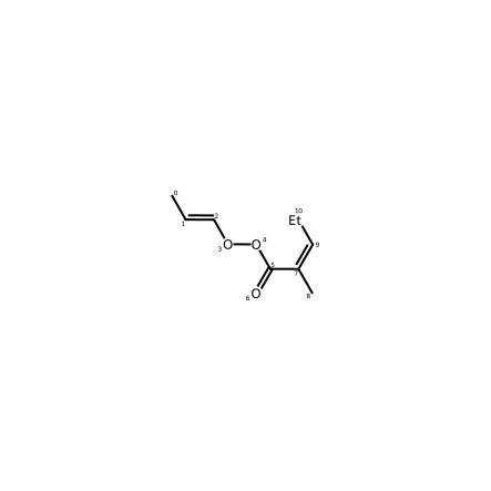 CC=COOC(=O)C(C)=CCC